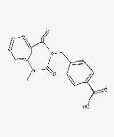 O=C(O)c1ccc(Cn2c(=O)c3ccccc3n(I)c2=O)cc1